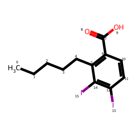 CCCCCc1c(C(=O)O)ccc(I)c1I